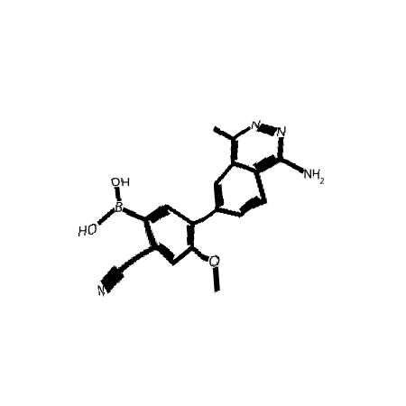 COc1cc(C#N)c(B(O)O)cc1-c1ccc2c(N)nnc(C)c2c1